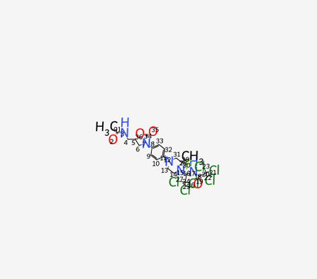 CC(=O)NCC1CN(c2ccc(N3CCN(C(NC(=O)C(Cl)(Cl)Cl)C(Cl)(Cl)Cl)C(C)(F)C3)cc2)C(=O)O1